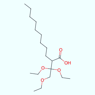 CCCCCCCCCC(C(=O)O)C(COCC)(OCC)OCC